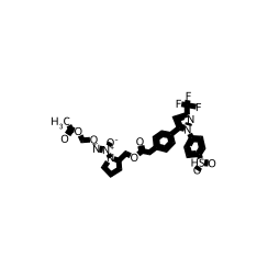 CC(=O)OCO/N=[N+](\[O-])N1CCCC1COC(=O)Cc1ccc(-c2cc(C(F)(F)F)nn2-c2ccc([SH](=O)=O)cc2)cc1